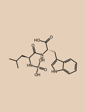 CC(C)C[C@H](NP(=O)(O)O)C(=O)N[C@@H](Cc1c[nH]c2ccccc12)C(=O)O